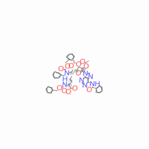 COC(=O)[C@@H](/C=C/C[C@@H](C[C@H]1O[C@@H](n2cnc3c(NC(=O)c4ccccc4)ncnc32)[C@@H](OC(C)=O)C1OC(C)=O)N(Cc1ccccc1)C(=O)OCc1ccccc1)NC(=O)OCc1ccccc1